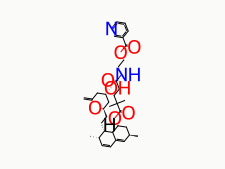 C=C1C[C@H](O)C[C@@H](CC[C@@H]2[C@@H]3C(=C[C@H](C)C[C@@H]3OC(=O)C(C)(C)CCC(=O)NCCOC(=O)c3cccnc3)C=C[C@@H]2C)O1